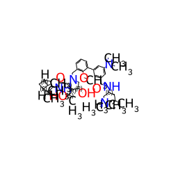 COc1c(CN2C[C@H](O)[C@@H]([C@H](C)O)[C@H]2C(=O)NC2C[C@H]3C[C@@H]([C@@H]2C)C3(C)C)cccc1-c1cc(C(=O)N[C@@H](CC(C)C)CN(C)C)cc(N(C)C)c1